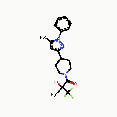 Cc1cc(C2CCN(C(=O)C(C)(O)C(F)(F)F)CC2)nn1-c1ccccc1